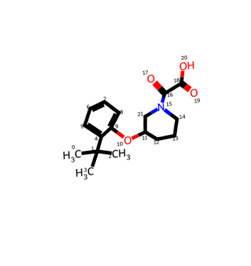 CC(C)(C)c1ccccc1OC1CCCN(C(=O)C(=O)O)C1